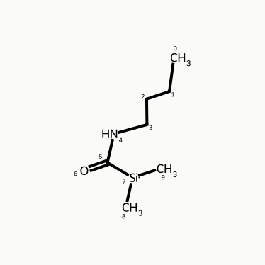 CCCCNC(=O)[Si](C)C